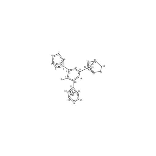 Cc1c(-c2cc3ccc2o3)cc(-c2cc3oc2CC3)cc1-c1cc2ccc1o2